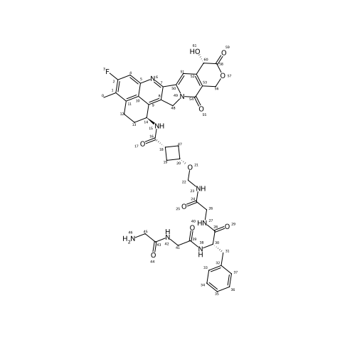 Cc1c(F)cc2nc3c(c4c2c1CC[C@@H]4NC(=O)[C@H]1C[C@@H](OCNC(=O)CNC(=O)[C@H](Cc2ccccc2)NC(=O)CNC(=O)CN)C1)Cn1c-3cc2c(c1=O)COC(=O)[C@H]2O